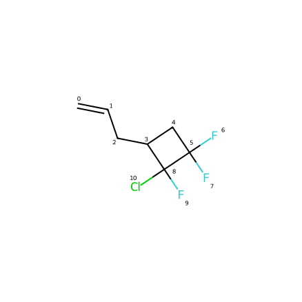 C=CCC1CC(F)(F)C1(F)Cl